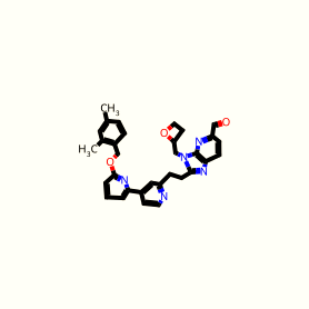 Cc1ccc(COc2cccc(-c3ccnc(CCc4nc5ccc(C=O)nc5n4CC4CCO4)c3)n2)c(C)c1